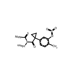 CCCCCCCN(C(=O)C1(c2ccc(C)c(N=S(=O)=O)c2)CC1)C(=S)NC